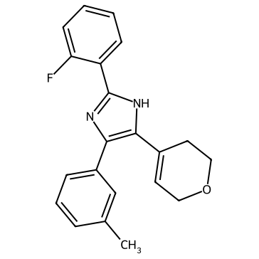 Cc1cccc(-c2nc(-c3ccccc3F)[nH]c2C2=CCOCC2)c1